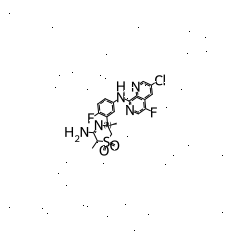 CC1C(N)=N[C@](C)(c2cc(Nc3ncc(F)c4cc(Cl)cnc34)ccc2F)CS1(=O)=O